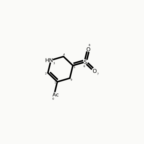 CC(=O)C1=CNCC(=S(=O)=O)C1